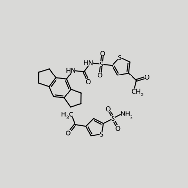 CC(=O)c1csc(S(=O)(=O)NC(=O)Nc2c3c(cc4c2CCC4)CCC3)c1.CC(=O)c1csc(S(N)(=O)=O)c1